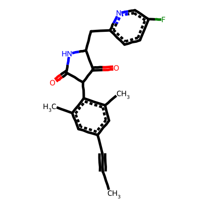 CC#Cc1cc(C)c(C2C(=O)NC(Cc3ccc(F)cn3)C2=O)c(C)c1